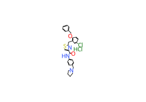 Cl.O=C(Nc1ccc(CN2CCCC2)cc1)c1csc(Cc2cc(Cl)ccc2OCc2ccccc2)n1